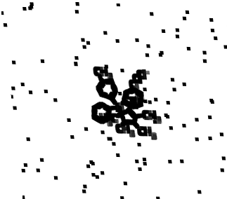 CC1=C(C)C(C)([Si](c2ccccc2)(c2ccccc2)c2ccc(C)cc2)[C]([Ti+3])=C1C.[Cl-].[Cl-].[Cl-]